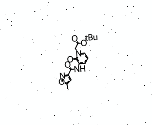 Cc1cc(C(=O)Nc2cccn(CC(=O)OC(C)(C)C)c2=O)no1